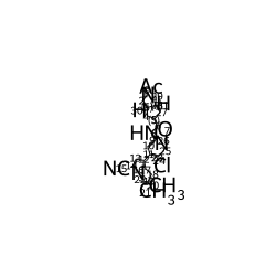 CC(=O)N1C[C@H]2C[C@H](C(=O)Nc3cc(-c4cc(C#N)n5c4CC(C)(C)C5)c(Cl)cn3)C[C@H]2C1